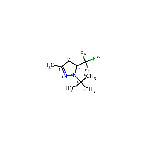 CC1=NN(C(C)(C)C)C(C(F)(F)F)C1